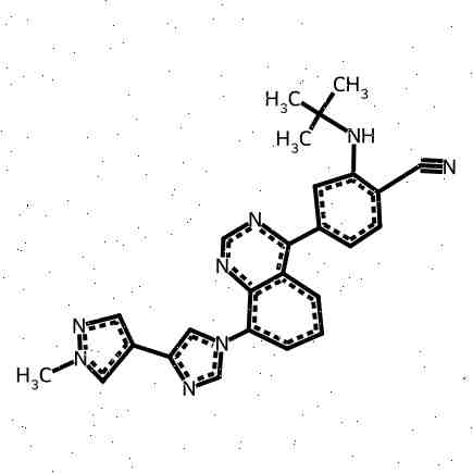 Cn1cc(-c2cn(-c3cccc4c(-c5ccc(C#N)c(NC(C)(C)C)c5)ncnc34)cn2)cn1